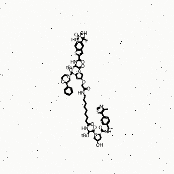 Cc1ncsc1-c1ccc([C@H](C)NC(=O)[C@@H]2C[C@@H](O)CN2C(=O)C(NC(=O)CCCCCCCCNC(=O)CO[C@H]2C[C@@H](C(=O)N3CCOC(c4ccccc4)C3)N(C(=O)C(NC(=O)c3cc4cc(C(F)(F)P(=O)(O)O)ccc4s3)C(C)(C)C)C2)C(C)(C)C)cc1